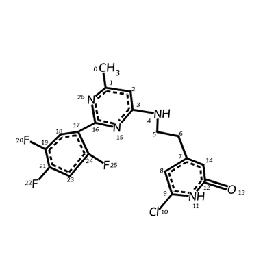 Cc1cc(NCCc2cc(Cl)[nH]c(=O)c2)nc(-c2cc(F)c(F)cc2F)n1